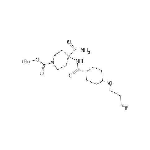 CC(C)(C)OC(=O)N1CCC(NC(=O)[C@H]2CC[C@@H](OCCCF)CC2)(C(N)=O)CC1